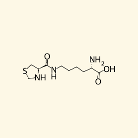 N[C@@H](CCCCNC(=O)[C@@H]1CSCN1)C(=O)O